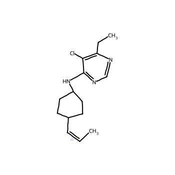 C/C=C\C1CCC(Nc2ncnc(CC)c2Cl)CC1